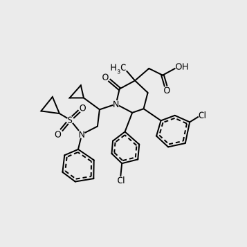 CC1(CC(=O)O)CC(c2cccc(Cl)c2)C(c2ccc(Cl)cc2)N(C(CN(c2ccccc2)S(=O)(=O)C2CC2)C2CC2)C1=O